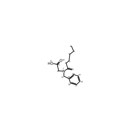 C=C(CCCCC)N(CC(=O)O)Cc1ccccc1